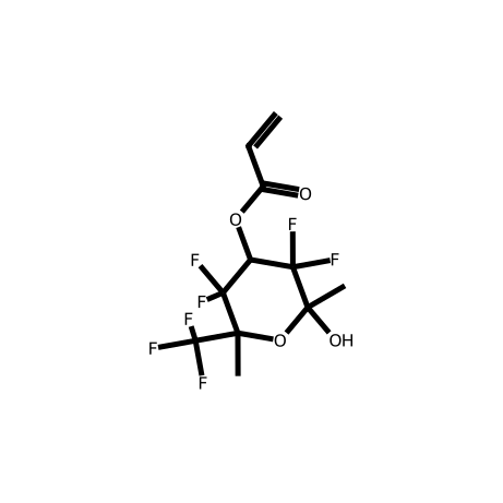 C=CC(=O)OC1C(F)(F)C(C)(O)OC(C)(C(F)(F)F)C1(F)F